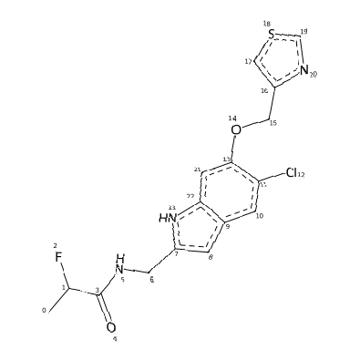 CC(F)C(=O)NCc1cc2cc(Cl)c(OCc3cscn3)cc2[nH]1